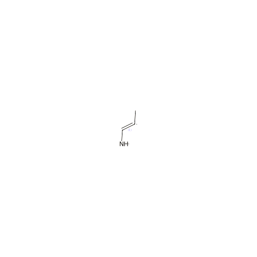 C/[C]=C/[NH]